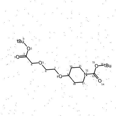 CC(C)(C)OC(=O)COCCOC1CCN(C(=O)OC(C)(C)C)CC1